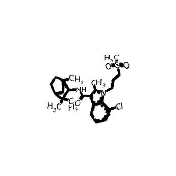 Cc1c(C(=O)NC2C3(C)CCC(C3)C2(C)C)c2cccc(Cl)c2n1CCCS(C)(=O)=O